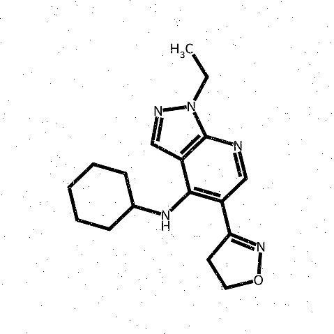 CCn1ncc2c(NC3CCCCC3)c(C3=NO[C]C3)cnc21